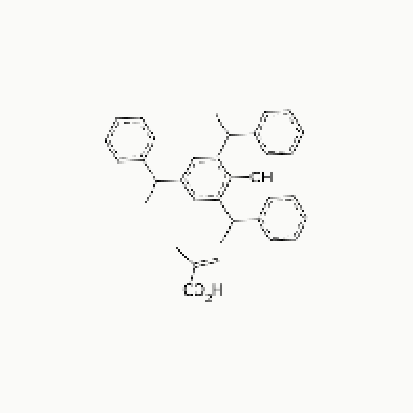 C=C(C)C(=O)O.CC(c1ccccc1)c1cc(C(C)c2ccccc2)c(O)c(C(C)c2ccccc2)c1